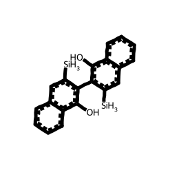 Oc1c(-c2c([SiH3])cc3ccccc3c2O)c([SiH3])cc2ccccc12